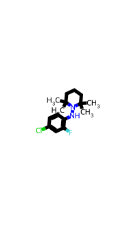 CC1(C)CCCC(C)(C)N1Nc1ccc(Cl)cc1F